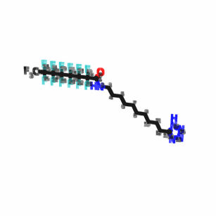 O=C(NCCCCCCCCCCc1nnn[nH]1)C(F)(F)C(F)(F)C(F)(F)C(F)(F)C(F)(F)C(F)(F)C(F)(F)F